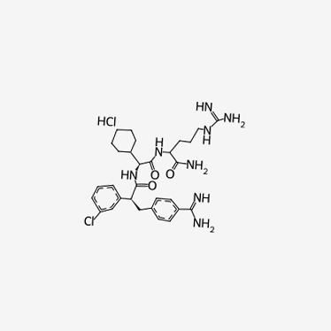 Cl.N=C(N)NCCCC(NC(=O)[C@@H](NC(=O)[C@@H](Cc1ccc(C(=N)N)cc1)c1cccc(Cl)c1)C1CCCCC1)C(N)=O